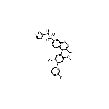 CCc1nnc2cc(S(=O)(=O)Nc3ccon3)ccc2c1-c1cc(Cl)c(-c2cccc(F)c2)cc1OC